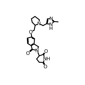 Cc1ncc(CN2CCCCC2COc2ccc3c(c2)CN(C2CCC(=O)NC2=O)C3=O)[nH]1